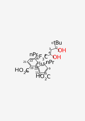 CC(C)(C)C(O)CC(O)C(F)(F)F.CCCc1ccc(C(=O)O)cc1.CCCc1ccc(C(=O)O)cc1